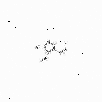 C=Nn1c(/C=C\C)nnc1C(C)C